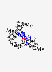 COc1cc(-c2nc(NC(=O)c3cc4c(C)c(C)c(OC)cc4n3CCC(=O)O)nn2CCC2CCCCC2)c(OC)cc1C.[KH]